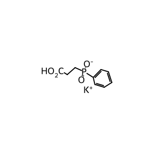 O=C(O)CCP(=O)([O-])c1ccccc1.[K+]